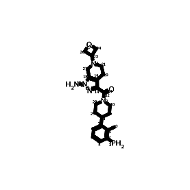 Cc1c(P)cccc1C1CCN(C(=O)c2nn(N)c3c2CCN(C2COC2)C3)CC1